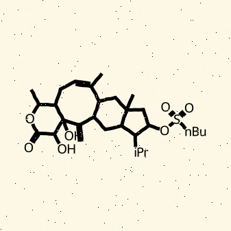 C=C1C2CC3C(C(C)C)C(OS(=O)(=O)CCCC)CC3(C)CC2C(C)=CCC2C(C)OC(=O)C(O)C12O